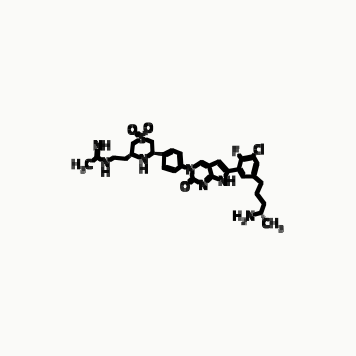 CC(=N)NCC[C@H]1CS(=O)(=O)C[C@@H](c2ccc(-n3cc4cc(-c5cc(CCC[C@H](C)N)cc(Cl)c5F)[nH]c4nc3=O)cc2)N1